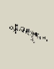 COCCN/C(N)=N/c1nc(-c2cccc(CNC(=O)C3CCCC3)n2)cs1